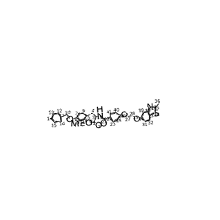 COC(=O)C(Cc1ccc(OCc2ccccc2)cc1)NC(=O)c1ccc(OCCOc2ccc3sc(C)nc3c2)cc1